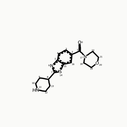 O=C(c1ccc2nc(C3CCNCC3)sc2c1)N1CCOCC1